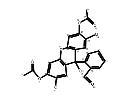 CC(=O)Oc1cc2c(cc1Cl)C(O)(c1ccccc1C=O)c1cc(Cl)c(OC(C)=O)cc1O2